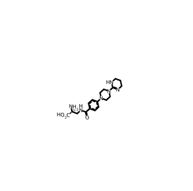 N[C@@H](CNC(=O)c1ccc(N2CCN(C3=NCCCN3)CC2)cc1)C(=O)O